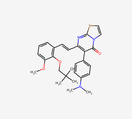 COc1cccc(/C=C/c2nc3sccn3c(=O)c2-c2ccc(N(C)C)cc2)c1OCC(C)(C)C